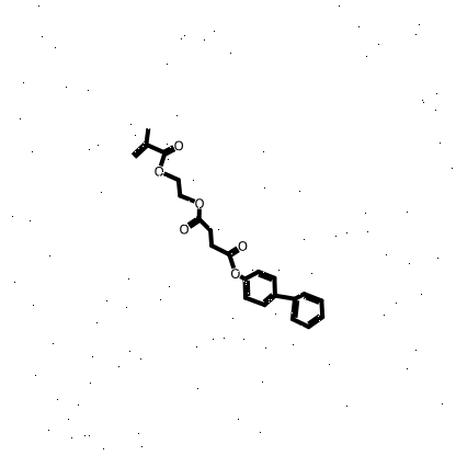 C=C(C)C(=O)OCCOC(=O)CCC(=O)Oc1ccc(-c2ccccc2)cc1